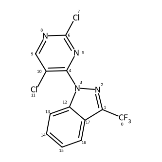 FC(F)(F)c1nn(-c2nc(Cl)ncc2Cl)c2ccccc12